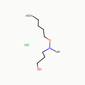 CCCCCCCCCCCCON(CCC)CCCO.Cl